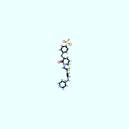 CS(=O)(=O)c1ccc(Cc2ccc3sc(C#CCc4ccncc4)cn3c2=O)cc1